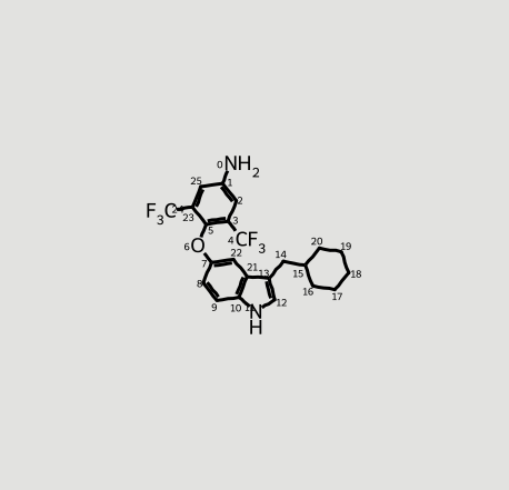 Nc1cc(C(F)(F)F)c(Oc2ccc3[nH]cc(CC4CCCCC4)c3c2)c(C(F)(F)F)c1